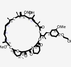 C=C1[C@H](C)C[C@H](C)/C=C/C=C/C=C(\C)[C@@H](OC)C[C@@H]2CC[C@@H](C)[C@@](O)(O2)C(=O)C(=O)N2CCCC[C@H]2C(=O)OC([C@H](C)C[C@@H]2CC[C@@H](OCCO)[C@H](OC)C2)CC(=O)[C@H](C)/C=C(\C)[C@@H](O)[C@H]1OC